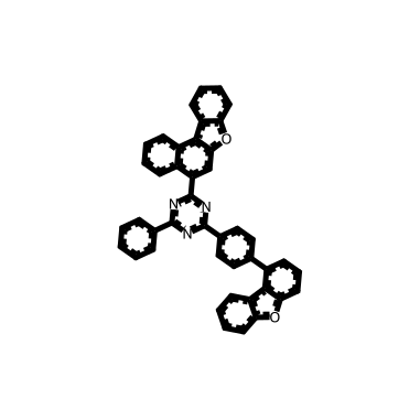 c1ccc(-c2nc(-c3ccc(-c4cccc5oc6ccccc6c45)cc3)nc(-c3cc4oc5ccccc5c4c4ccccc34)n2)cc1